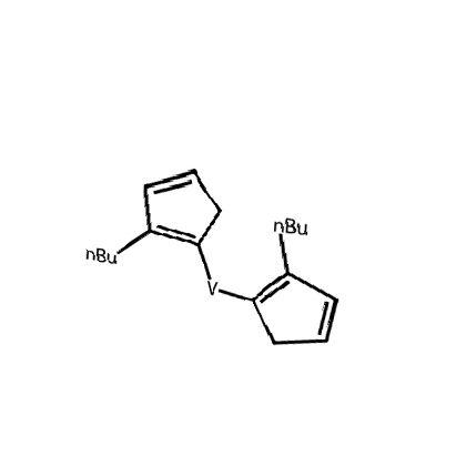 CCCCC1=[C]([V][C]2=C(CCCC)C=CC2)CC=C1